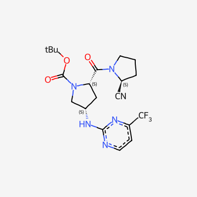 CC(C)(C)OC(=O)N1C[C@@H](Nc2nccc(C(F)(F)F)n2)C[C@H]1C(=O)N1CCC[C@H]1C#N